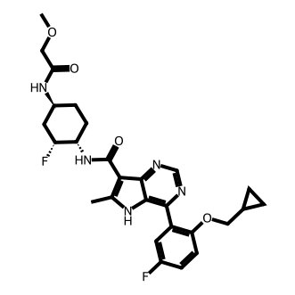 COCC(=O)N[C@H]1CC[C@H](NC(=O)c2c(C)[nH]c3c(-c4cc(F)ccc4OCC4CC4)ncnc23)[C@H](F)C1